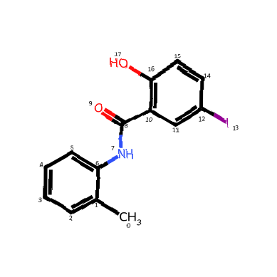 Cc1ccccc1NC(=O)c1cc(I)ccc1O